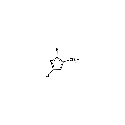 CCc1cc(C(=O)O)c(CC)s1